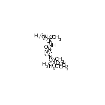 COC1=NC(NC(=O)N2CCc3c(N4C[C@@H](C)N(C(=O)OC(C)(C)C)[C@@H](C)C4)ccnc32)=CC2CN(C)N=C12